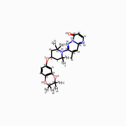 [2H]C1([2H])CC(Oc2ccc3c(c2)OC([2H])([2H])C([2H])([2H])O3)CC([2H])([2H])N1c1nn2c(=O)ccnc2cc1C